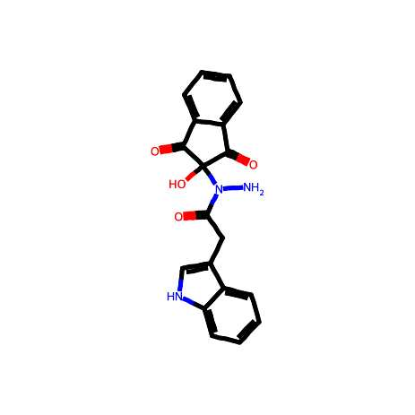 NN(C(=O)Cc1c[nH]c2ccccc12)C1(O)C(=O)c2ccccc2C1=O